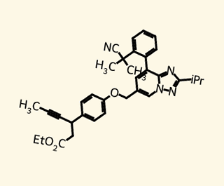 CC#CC(CC(=O)OCC)c1ccc(OCc2cc(-c3ccccc3C(C)(C)C#N)c3nc(C(C)C)nn3c2)cc1